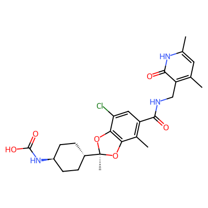 Cc1cc(C)c(CNC(=O)c2cc(Cl)c3c(c2C)O[C@@](C)([C@H]2CC[C@H](NC(=O)O)CC2)O3)c(=O)[nH]1